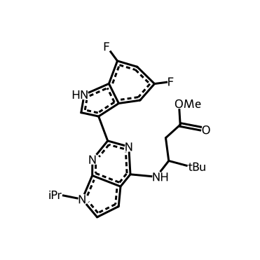 COC(=O)CC(Nc1nc(-c2c[nH]c3c(F)cc(F)cc23)nc2c1ccn2C(C)C)C(C)(C)C